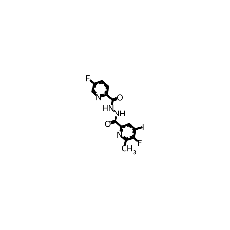 Cc1nc(C(=O)NNC(=O)c2ccc(F)cn2)cc(I)c1F